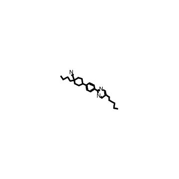 CCCCCc1cnc(-c2ccc(C3CCC(C#N)(CCCC)CC3)cc2)nc1